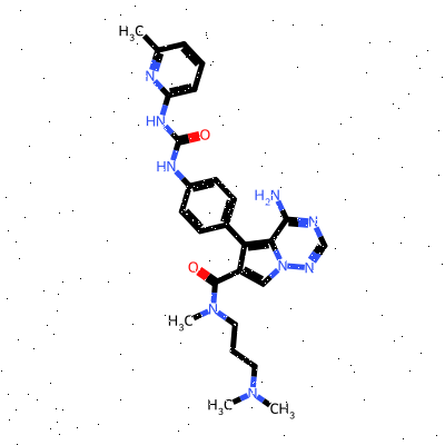 Cc1cccc(NC(=O)Nc2ccc(-c3c(C(=O)N(C)CCCN(C)C)cn4ncnc(N)c34)cc2)n1